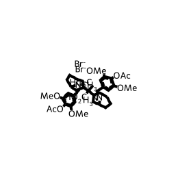 COc1cc(C[N+]2(C)C3CCC2CC(C(CC(=O)O)(C(=O)O)C2CC4CCC(C2)[N+]4(C)Cc2cc(OC)c(OC(C)=O)c(OC)c2)C3)cc(OC)c1OC(C)=O.[Br-].[Br-]